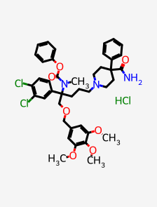 COc1cc(COCC(CCCN2CCC(C(N)=O)(c3ccccc3)CC2)(c2ccc(Cl)c(Cl)c2)N(C)C(=O)Oc2ccccc2)cc(OC)c1OC.Cl